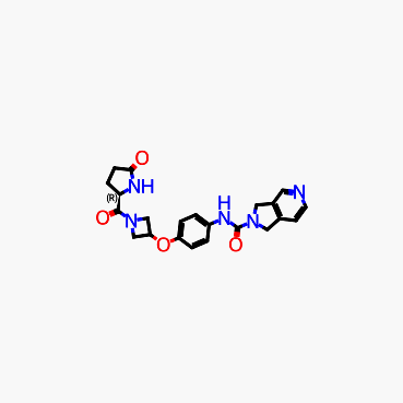 O=C1CC[C@H](C(=O)N2CC(Oc3ccc(NC(=O)N4Cc5ccncc5C4)cc3)C2)N1